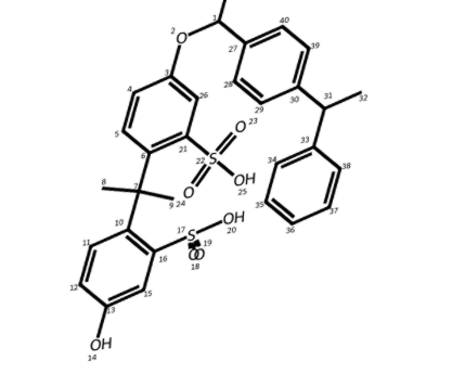 CC(Oc1ccc(C(C)(C)c2ccc(O)cc2S(=O)(=O)O)c(S(=O)(=O)O)c1)c1ccc(C(C)c2ccccc2)cc1